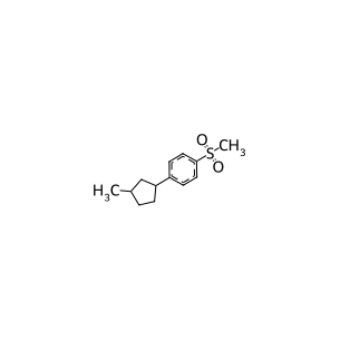 CC1CCC(c2ccc(S(C)(=O)=O)cc2)C1